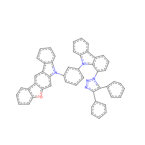 c1ccc(-c2nnn(-c3cccc4c5ccccc5n(-c5cccc(-n6c7ccccc7c7cc8c(cc76)oc6ccccc68)c5)c34)c2-c2ccccc2)cc1